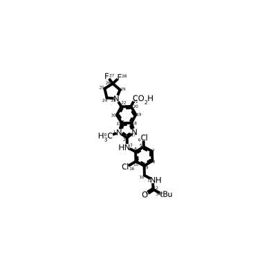 Cn1c(Nc2c(Cl)ccc(CNC(=O)C(C)(C)C)c2Cl)nc2cc(C(=O)O)c(N3CCC(F)(F)C3)cc21